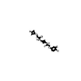 O=C(COc1ccc(Cl)c(F)c1)NC12CC(NC(=O)CO[C@H]3C[C@H](F)C3)(C1)C2